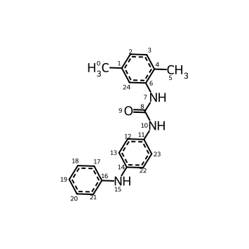 Cc1ccc(C)c(NC(=O)Nc2ccc(Nc3ccccc3)cc2)c1